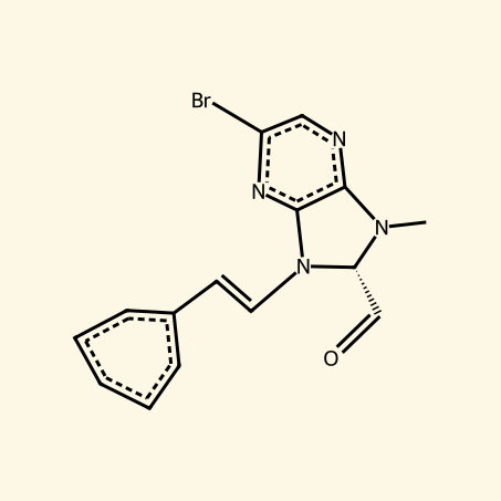 CN1c2ncc(Br)nc2N(C=Cc2ccccc2)[C@H]1C=O